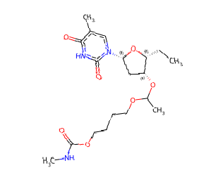 CC[C@H]1O[C@@H](n2cc(C)c(=O)[nH]c2=O)C[C@H]1OC(C)OCCCCOC(=O)NC